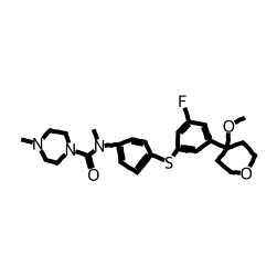 COC1(c2cc(F)cc(Sc3ccc(N(C)C(=O)N4CCN(C)CC4)cc3)c2)CCOCC1